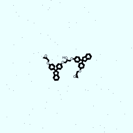 OC(COc1ccc(C2(c3ccc(OCC4CO4)cc3)Cc3ccccc3C2)cc1)COc1ccc(C2(c3ccc(OCC4CO4)cc3)Cc3ccccc3C2)cc1